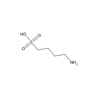 NCCCCS(=O)(=O)O